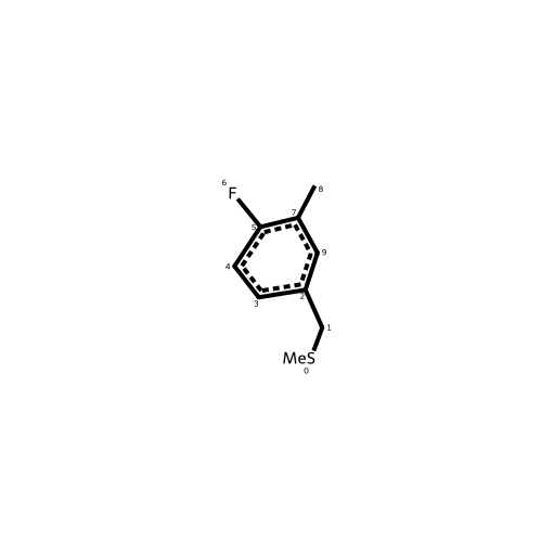 CSCc1ccc(F)c(C)c1